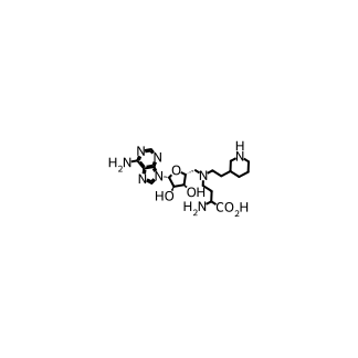 Nc1ncnc2c1ncn2[C@@H]1O[C@H](CN(CCC2CCCNC2)CCC(N)C(=O)O)[C@@H](O)[C@H]1O